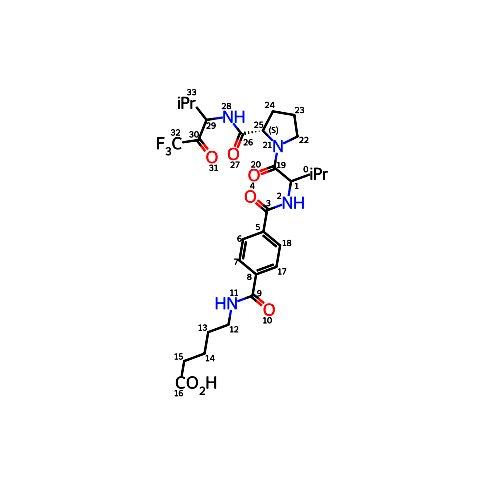 CC(C)C(NC(=O)c1ccc(C(=O)NCCCCC(=O)O)cc1)C(=O)N1CCC[C@H]1C(=O)NC(C(=O)C(F)(F)F)C(C)C